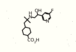 CC(C)(CC1CCC(C(=O)O)CC1)NCC(O)c1cncc(F)c1